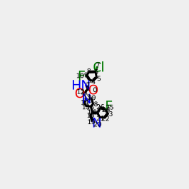 O=C(Nc1ccc(Cl)cc1F)C(=O)N1CCC(c2ccnc3ccc(F)cc23)CC1